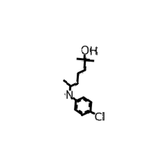 CC(CCCC(C)(C)O)[N]c1ccc(Cl)cc1